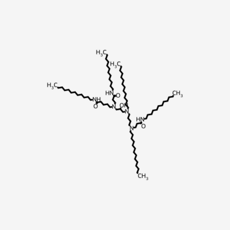 CCCCCCCCCCCCCCN(CCCCN(CCCCCCCCCCCCCC)CC(O)CN(CCCCC(=O)NCCCCCCCCCCCC)CCC(=O)NCCCCCCCCCCCC)CCC(=O)NCCCCCCCCCCCC